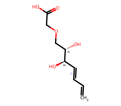 C=C/C=C/[C@@H](O)[C@@H](O)COCC(=O)O